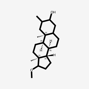 COC1CC[C@H]2[C@@H]3CCC4CC(O)C(C)C[C@]4(C)[C@@H]3CC[C@]12C